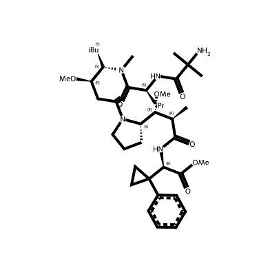 CC[C@H](C)[C@@H]([C@@H](CC(=O)N1CCC[C@H]1[C@H](OC)[C@@H](C)C(=O)N[C@@H](C(=O)OC)C1(c2ccccc2)CC1)OC)N(C)C(=O)[C@@H](NC(=O)C(C)(C)N)C(C)C